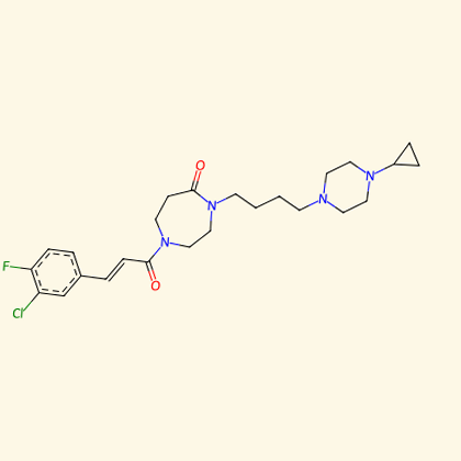 O=C(C=Cc1ccc(F)c(Cl)c1)N1CCC(=O)N(CCCCN2CCN(C3CC3)CC2)CC1